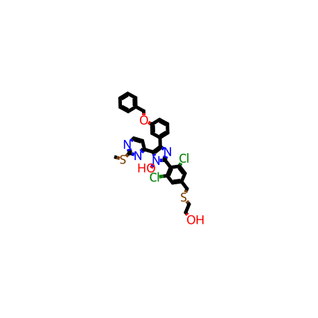 CSc1nccc(-c2c(-c3cccc(OCc4ccccc4)c3)nc(-c3c(Cl)cc(CSCCO)cc3Cl)n2O)n1